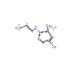 O=C(O)c1cc(Br)ccc1NC=C[N+](=O)[O-]